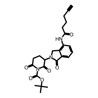 C#CCCCC(=O)Nc1cccc2c1CN(C1CCC(=O)N(C(=O)OC(C)(C)C)C1=O)C2=O